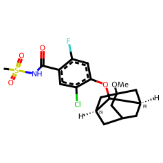 COC12CC3C[C@H](C1)C(Oc1cc(F)c(C(=O)NS(C)(=O)=O)cc1Cl)[C@@H](C3)C2